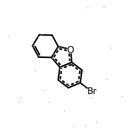 Brc1ccc2c3c(oc2c1)CCC=C3